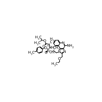 CCOCc1nc2c(N)nc3ccccc3c2n1C[C@@H](C)O[P@@](=O)(N[C@@H](C)C(=O)OC(C)C)Oc1ccc(C)cc1